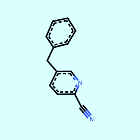 N#Cc1ccc(Cc2ccccc2)cn1